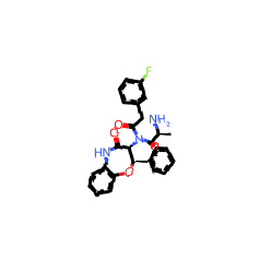 C[C@H](N)C(=O)N(C(=O)Cc1cccc(F)c1)[C@@H]1C(=O)Nc2ccccc2O[C@@H]1c1ccccc1